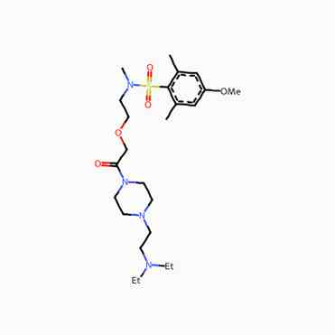 CCN(CC)CCN1CCN(C(=O)COCCN(C)S(=O)(=O)c2c(C)cc(OC)cc2C)CC1